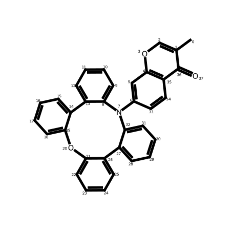 Cc1coc2cc(N3c4ccccc4-c4ccccc4Oc4ccccc4-c4ccccc43)ccc2c1=O